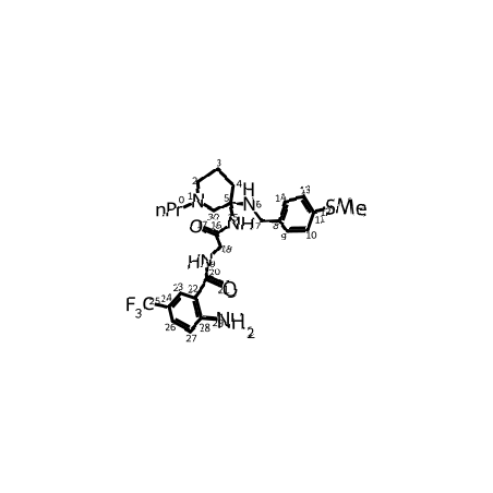 CCCN1CCC[C@](NCc2ccc(SC)cc2)(NC(=O)CNC(=O)c2cc(C(F)(F)F)ccc2N)C1